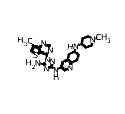 Cc1csc2c(-n3nc(Nc4cnc5c(c4)CC(NC4CCN(C)CC4)CC5)nc3N)ncnc12